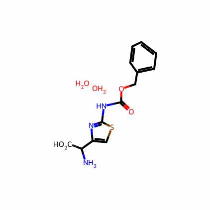 NC(C(=O)O)c1csc(NC(=O)OCc2ccccc2)n1.O.O